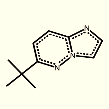 CC(C)(C)c1ccc2nccn2n1